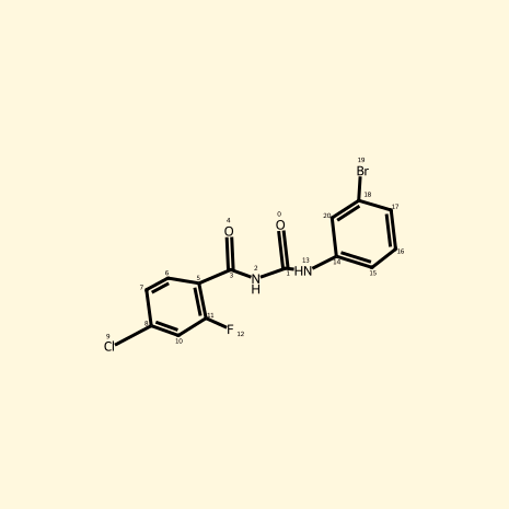 O=C(NC(=O)c1ccc(Cl)cc1F)Nc1cccc(Br)c1